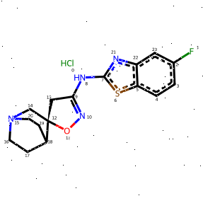 Cl.Fc1ccc2sc(NC3=NO[C@@]4(C3)CN3CCC4CC3)nc2c1